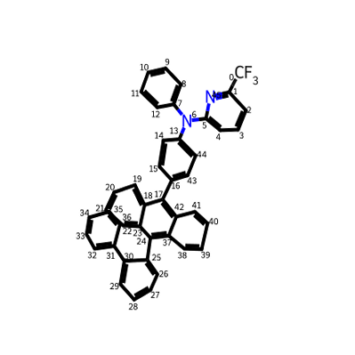 FC(F)(F)c1cccc(N(c2ccccc2)c2ccc(-c3c4ccccc4c(-c4ccccc4-c4ccccc4)c4ccccc34)cc2)n1